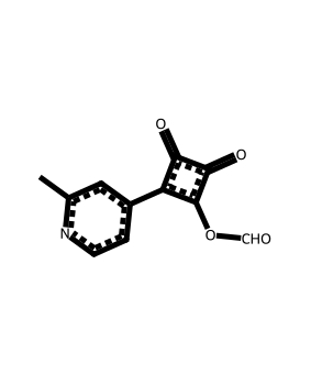 Cc1cc(-c2c(OC=O)c(=O)c2=O)ccn1